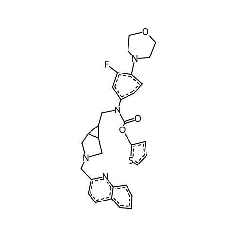 O=C(Oc1cccs1)N(CC1C2CN(Cc3ccc4ccccc4n3)CC21)c1ccc(N2CCOCC2)c(F)c1